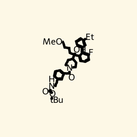 CCc1cccc(-c2c(F)cccc2C(O)(CCCCOC)C2CCN(C(=O)c3cccc(CNC(=O)OC(C)(C)C)c3)CC2)c1